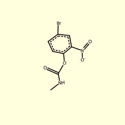 CNC(=O)Oc1ccc(Br)cc1[N+](=O)[O-]